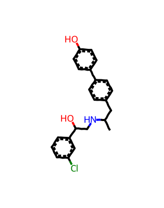 CC(Cc1ccc(-c2ccc(O)cc2)cc1)NCC(O)c1cccc(Cl)c1